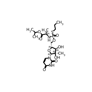 CCCS[P@@](=O)(N[C@H](C)C(=O)OC(C)C)OC[C@H]1O[C@@H](n2ccc(=O)[nH]c2=O)[C@](C)(O)[C@@H]1O